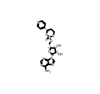 Nc1ncnc2c1ncn2[C@@H]1O[C@H](COP2(=S)OCC[C@@H](c3ccncc3)O2)[C@H](O)[C@@H]1O